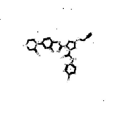 C#CCO[C@@H]1C[C@H](C(=O)Nc2ccc(N3CCOCC3=O)cc2F)N(C(=O)Nc2ccc(Cl)cc2)C1